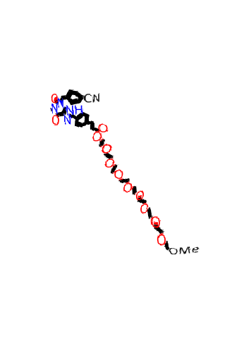 COCCOCCOCCOCCOCCOCCOCCOCCOCCOC(=O)/C=C/c1ccc(-c2nc3c(=O)n(C)c(=O)n(Cc4ccc(C#N)cc4)c3[nH]2)cc1